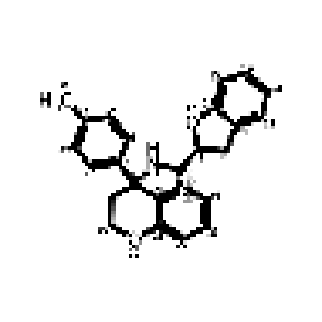 Cc1ccc([C@@]2(NC(=O)C3Cc4ccccc4O3)CCOc3cccnc32)cc1